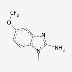 Cn1c(N)nc2cc(OC(F)(F)F)ccc21